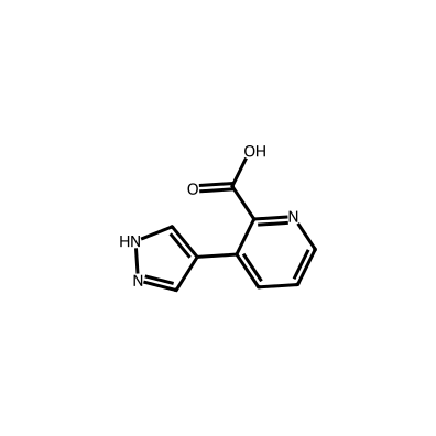 O=C(O)c1ncccc1-c1cn[nH]c1